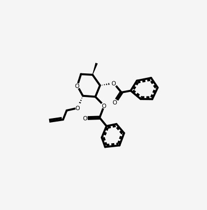 C=CCO[C@@H]1OC[C@@H](C)[C@H](OC(=O)c2ccccc2)C1OC(=O)c1ccccc1